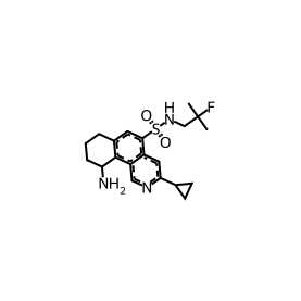 CC(C)(F)CNS(=O)(=O)c1cc2c(c3cnc(C4CC4)cc13)C(N)CCC2